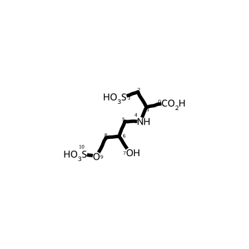 O=C(O)C(CS(=O)(=O)O)NCC(O)COS(=O)(=O)O